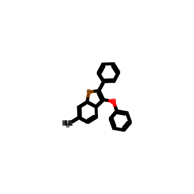 CC1=CC2SC(c3ccccc3)=C(Oc3ccccc3)C2C=C1